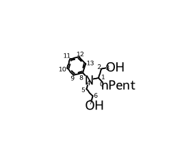 CCCCCC(CO)N(CCO)c1ccccc1